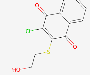 O=C1C(Cl)=C(SCCO)C(=O)c2ccccc21